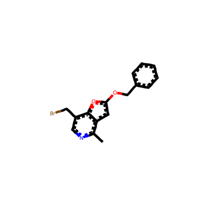 Cc1ncc(CBr)c2oc(OCc3ccccc3)cc12